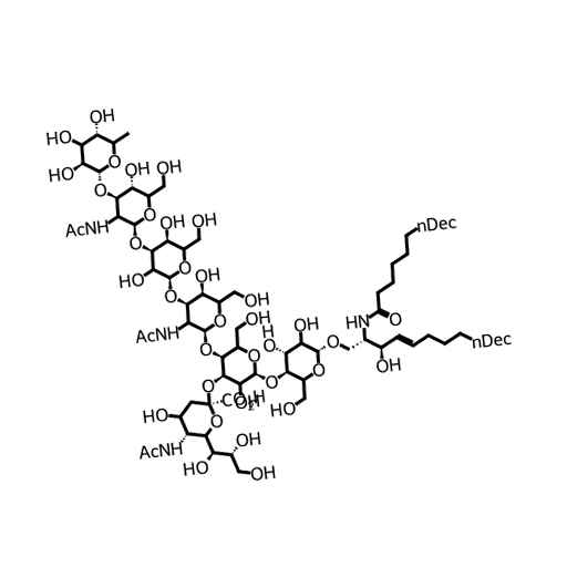 CCCCCCCCCCCCC/C=C/[C@@H](O)[C@H](CO[C@@H]1OC(CO)[C@@H](O[C@@H]2OC(CO)[C@H](O[C@@H]3OC(CO)[C@H](O)[C@H](O[C@@H]4OC(CO)[C@H](O)[C@H](O[C@@H]5OC(CO)[C@@H](O)[C@H](O[C@H]6OC(C)[C@@H](O)C(O)[C@@H]6O)C5NC(C)=O)C4O)C3NC(C)=O)[C@H](O[C@]3(C(=O)O)CC(O)[C@@H](NC(C)=O)C([C@H](O)[C@H](O)CO)O3)C2O)[C@H](O)C1O)NC(=O)CCCCCCCCCCCCCCC